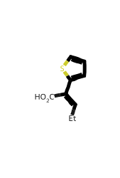 CCC=C(C(=O)O)c1cccs1